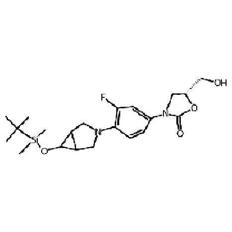 CC(C)(C)[Si](C)(C)OC1C2CN(c3ccc(N4C[C@H](CO)OC4=O)cc3F)CC21